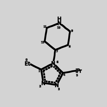 CCc1nnc(C(C)C)n1C1CCNCC1